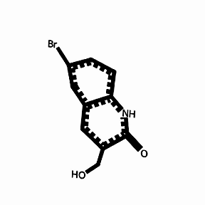 O=c1[nH]c2ccc(Br)cc2cc1CO